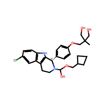 CC(CO)(CO)COc1ccc([C@H]2c3[nH]c4ccc(Cl)cc4c3CCN2C(O)OCC2CCC2)cc1